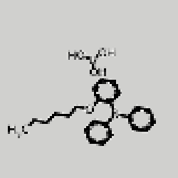 CCCCCCOc1ccccc1N(c1ccccc1)c1ccccc1.OB(O)O